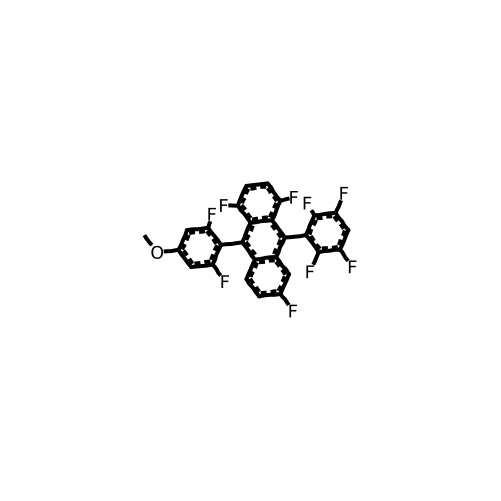 COc1cc(F)c(-c2c3ccc(F)cc3c(-c3c(F)c(F)cc(F)c3F)c3c(F)ccc(F)c23)c(F)c1